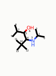 CC(C)NC(C(O)C(C)C)C(C)(C)C